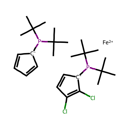 CC(C)(C)P([c-]1ccc(Cl)c1Cl)C(C)(C)C.CC(C)(C)P([c-]1cccc1)C(C)(C)C.[Fe+2]